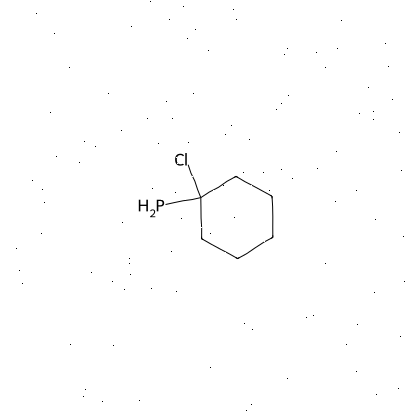 PC1(Cl)CCCCC1